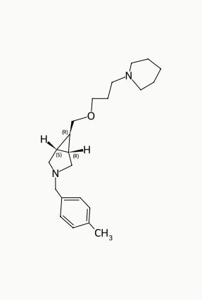 Cc1ccc(CN2C[C@@H]3[C@@H](COCCCN4CCCCC4)[C@@H]3C2)cc1